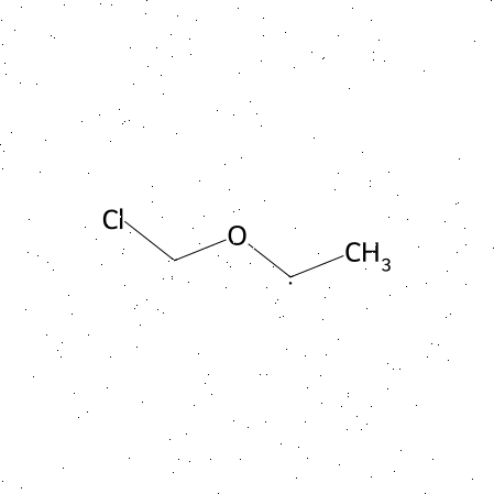 C[CH]OCCl